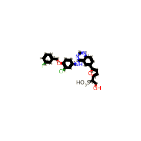 O=S(=O)(O)C(CO)c1ccc(-c2ccc3ncnc(Nc4ccc(OCc5cccc(F)c5)c(Cl)c4)c3c2)o1